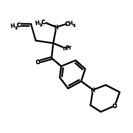 C=CCC(CCC)(C(=O)c1ccc(N2CCOCC2)cc1)N(C)C